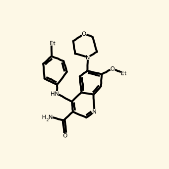 CCOc1cc2ncc(C(N)=O)c(Nc3ccc(CC)cc3)c2cc1N1CCOCC1